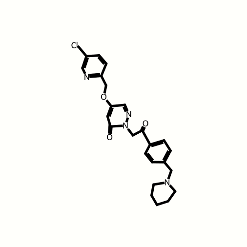 O=C(Cn1ncc(OCc2ccc(Cl)cn2)cc1=O)c1ccc(CN2CCCCC2)cc1